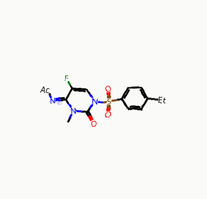 CCc1ccc(S(=O)(=O)n2cc(F)/c(=N\C(C)=O)n(C)c2=O)cc1